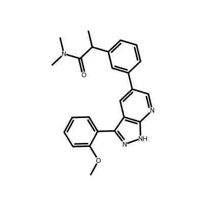 COc1ccccc1-c1n[nH]c2ncc(-c3cccc(C(C)C(=O)N(C)C)c3)cc12